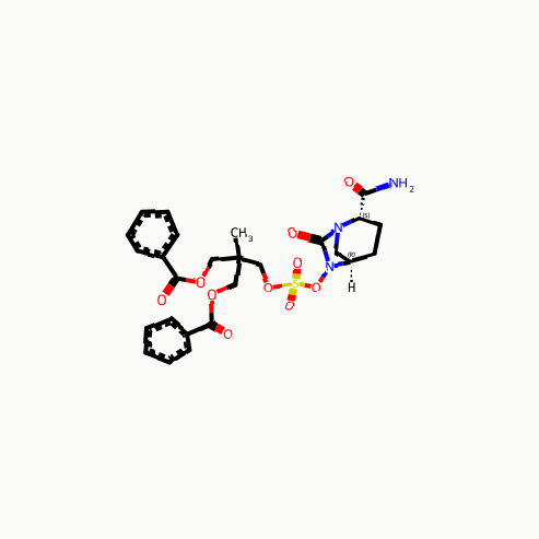 CC(COC(=O)c1ccccc1)(COC(=O)c1ccccc1)COS(=O)(=O)ON1C(=O)N2C[C@H]1CC[C@H]2C(N)=O